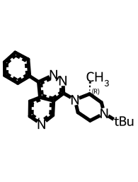 C[C@@H]1CN(C(C)(C)C)CCN1c1nnc(-c2ccccc2)c2ccncc12